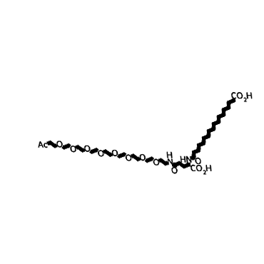 CC(=O)CCOCCOCCOCCOCCOCCOCCOCCOCCNC(=O)CC[C@H](NC(=O)CCCCCCCCCCCCCCCCC(=O)O)C(=O)O